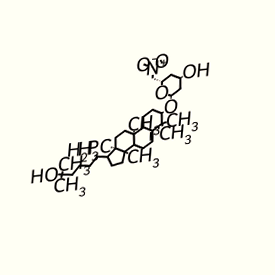 CC(C)(O)CCC[C@@H](P)C1CC[C@@]2(C)C3CC=C4C(CC[C@H](O[C@H]5C[C@@H](O)C[C@@H](C[N+](=O)[O-])O5)C4(C)C)[C@]3(C)CC[C@]12C